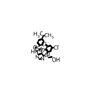 CC(C)c1ccc(S(=O)(=O)Nc2ncnc(OCCO)c2Oc2c(Cl)cc(Cl)cc2Cl)cc1